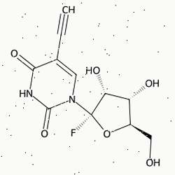 C#Cc1cn([C@]2(F)O[C@H](CO)[C@@H](O)[C@H]2O)c(=O)[nH]c1=O